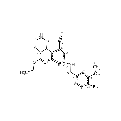 CCOC(=O)N1CCNCC1c1ccc(NCc2ccc(F)c(OC)c2)cc1C#N